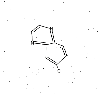 Clc1ccc2nccnc2c1